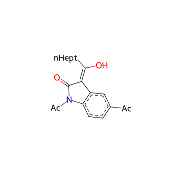 CCCCCCCC(O)=C1C(=O)N(C(C)=O)c2ccc(C(C)=O)cc21